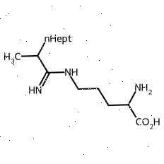 CCCCCCCC(C)C(=N)NCCCC(N)C(=O)O